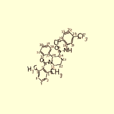 Cc1cccc(C)c1C(=O)N1CCCC(C(=O)Nc2cc(C(F)(F)F)ccc2Cl)C1c1ccccc1